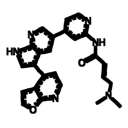 CN(C)CC=CC(=O)Nc1cc(-c2cnc3[nH]cc(-c4ccnc5occc45)c3c2)ccn1